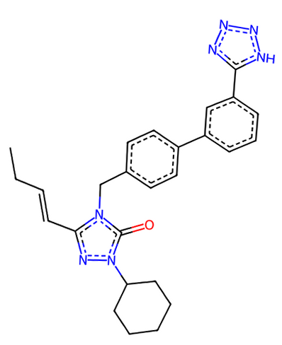 CCC=Cc1nn(C2CCCCC2)c(=O)n1Cc1ccc(-c2cccc(-c3nnn[nH]3)c2)cc1